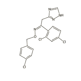 Clc1ccc(CON=C(Cc2nc[nH]n2)c2ccc(Cl)cc2Cl)cc1